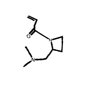 C=CC(=O)N1CCC1CN(C)C